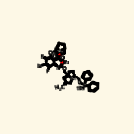 C=C1CN2[C@H](CO[Si](c3ccccc3)(c3ccccc3)C(C)(C)C)CC[C@@]2(COc2nc(N3CC4CCC(C3)N4C(=O)OC(C)(C)C)c3c(OC)c(F)c(Br)c(F)c3n2)C1